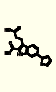 O=C(O)CCc1c(C(=O)O)[nH]c2cc(-c3cccs3)ccc12